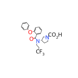 O=C(O)N1CC[C@H](N(CCC(F)(F)F)C(=O)c2ccccc2Oc2ccccc2)C1